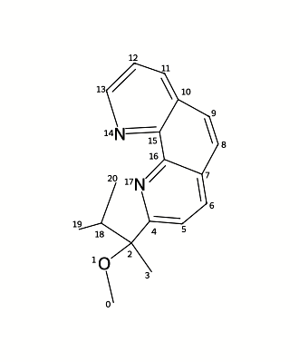 COC(C)(c1ccc2ccc3cccnc3c2n1)C(C)C